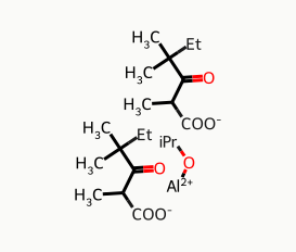 CC(C)[O][Al+2].CCC(C)(C)C(=O)C(C)C(=O)[O-].CCC(C)(C)C(=O)C(C)C(=O)[O-]